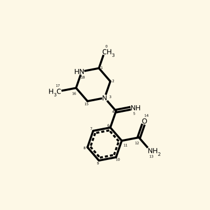 CC1CN(C(=N)c2ccccc2C(N)=O)CC(C)N1